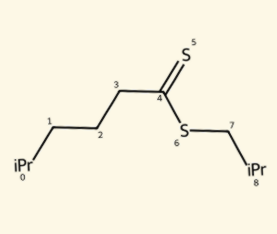 CC(C)CCCC(=S)SCC(C)C